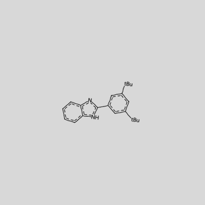 CC(C)(C)c1cc(-c2nc3ccccc3[nH]2)cc(C(C)(C)C)c1